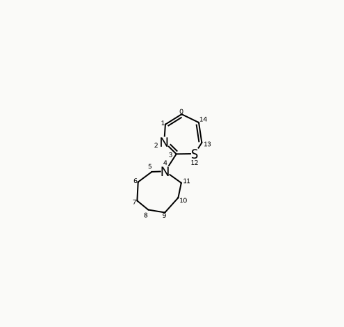 C1=CN=C(N2CCCCCCC2)SC=C1